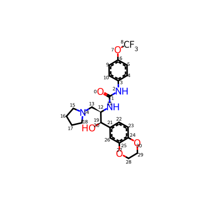 O=C(Nc1ccc(OC(F)(F)F)cc1)N[C@H](CN1CCCC1)[C@H](O)c1ccc2c(c1)OCCO2